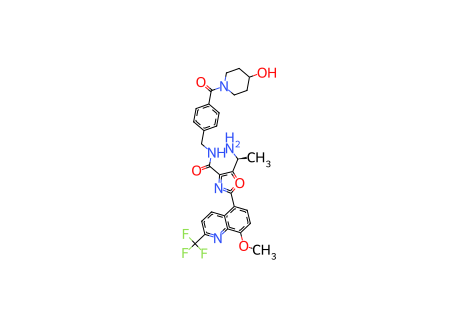 COc1ccc(-c2nc(C(=O)NCc3ccc(C(=O)N4CCC(O)CC4)cc3)c([C@H](C)N)o2)c2ccc(C(F)(F)F)nc12